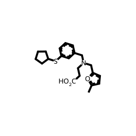 Cc1ccc(CN(CCC(=O)O)Cc2cccc(SC3CCCC3)c2)o1